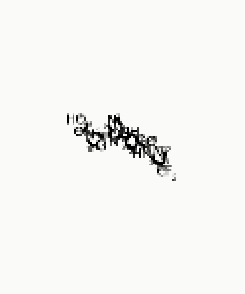 N[N+]12C=CN=CC1=C([C@H]1CN(C(=O)CO)CCO1)N=C2c1ccc(C(=O)Nc2cc(C(F)(F)F)ccn2)cc1